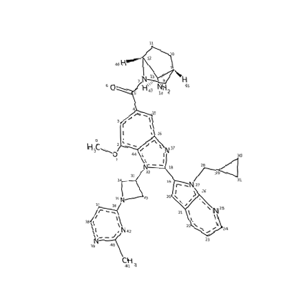 COc1cc(C(=O)N2C[C@H]3CC[C@@H]2[C@@H]3N)cc2nc(-c3cc4cccnc4n3CC3CC3)n(C3CN(c4ccnc(C)n4)C3)c12